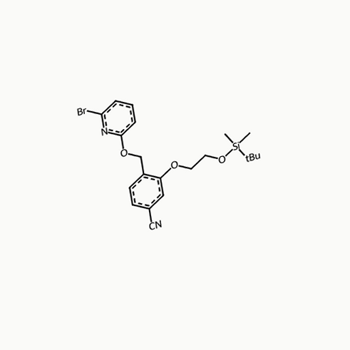 CC(C)(C)[Si](C)(C)OCCOc1cc(C#N)ccc1COc1cccc(Br)n1